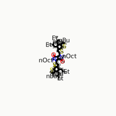 CCCCCCCCN1C(=O)C2=C(c3cc4c(CC(CC)CCCC)c(CC(CC)CCCC)c5ccsc5c4s3)N(CCCCCCCC)C(=O)C2=C1c1cc2c(CC(CC)CCCC)c(CC(CC)CCCC)c3ccsc3c2s1